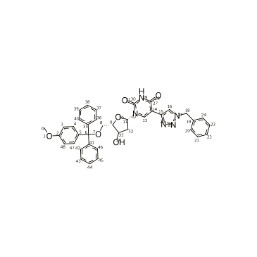 COc1ccc(C(OC[C@@H]2O[C@H](n3cc(-c4cn(Cc5ccccc5)nn4)c(=O)[nH]c3=O)CC2O)(c2ccccc2)c2ccccc2)cc1